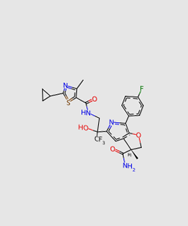 Cc1nc(C2CC2)sc1C(=O)NCC(O)(c1cc2c(c(-c3ccc(F)cc3)n1)OC[C@]2(C)C(N)=O)C(F)(F)F